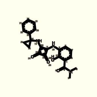 CN(C)C(=O)c1cccc(Nc2c(NC3(c4ccccc4)CC3)c(=O)c2=O)c1O